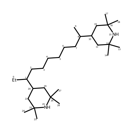 CCC(CCCCCCC(C)C1CC(C)(C)NC(C)(C)C1)C1CC(C)(C)NC(C)(C)C1